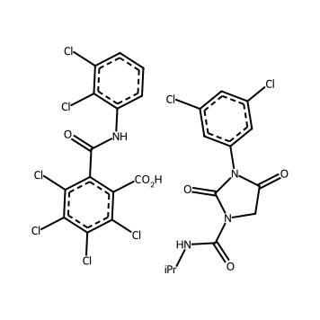 CC(C)NC(=O)N1CC(=O)N(c2cc(Cl)cc(Cl)c2)C1=O.O=C(O)c1c(Cl)c(Cl)c(Cl)c(Cl)c1C(=O)Nc1cccc(Cl)c1Cl